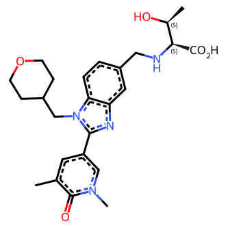 Cc1cc(-c2nc3cc(CN[C@H](C(=O)O)[C@H](C)O)ccc3n2CC2CCOCC2)cn(C)c1=O